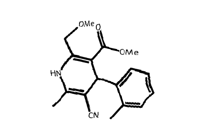 COCC1=C(C(=O)OC)C(c2ccccc2C)C(C#N)=C(C)N1